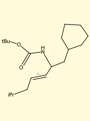 CC(C)C/C=C/C(CC1CCCCC1)NC(=O)OC(C)(C)C